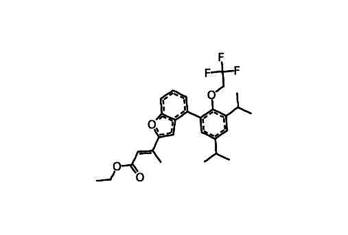 CCOC(=O)/C=C(\C)c1cc2c(-c3cc(C(C)C)cc(C(C)C)c3OCC(F)(F)F)cccc2o1